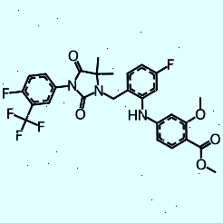 COC(=O)c1ccc(Nc2cc(F)ccc2CN2C(=O)N(c3ccc(F)c(C(F)(F)F)c3)C(=O)C2(C)C)cc1OC